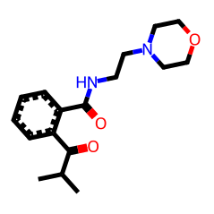 CC(C)C(=O)c1ccccc1C(=O)NCCN1CCOCC1